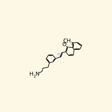 COc1c(/C=C/c2cccc(CCCN)c2)ccc2ccccc12